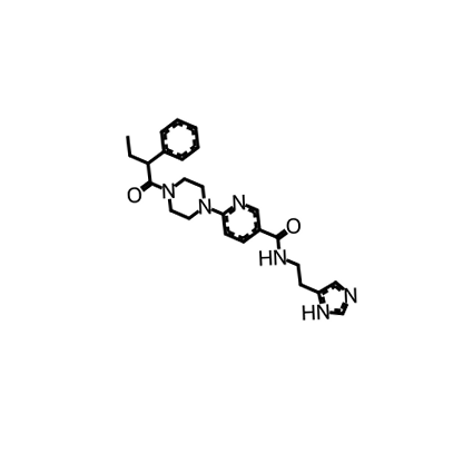 CCC(C(=O)N1CCN(c2ccc(C(=O)NCCc3cnc[nH]3)cn2)CC1)c1ccccc1